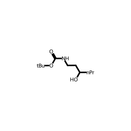 CCCC(O)CCNC(=O)OC(C)(C)C